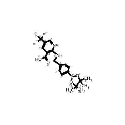 CC1(C)OB(c2ccc(CNc3ncc(C(F)(F)F)cc3C(=O)O)cc2)OC1(C)C